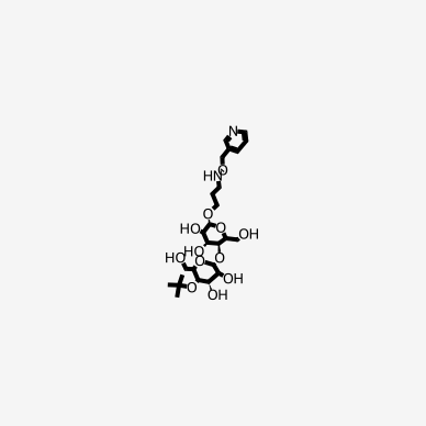 CC(C)(C)OC1C(CO)O[C@@H](O[C@@H]2C(CO)O[C@@H](OCCCNOCc3cccnc3)C(O)[C@@H]2O)C(O)[C@@H]1O